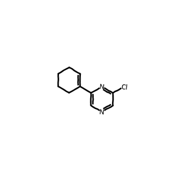 Clc1cncc(C2=CCCCC2)n1